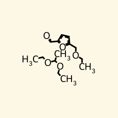 CCOC(C)OCC.CCOCc1ccc(C=O)o1